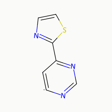 [c]1cc(-c2nccs2)ncn1